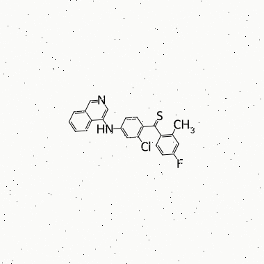 Cc1cc(F)ccc1C(=S)c1ccc(Nc2cncc3ccccc23)cc1Cl